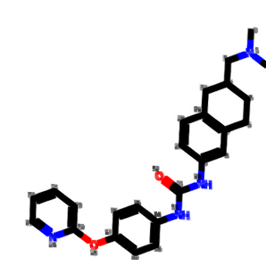 CN(C)CC1CCc2cc(NC(=O)Nc3ccc(Oc4ccccn4)cc3)ccc2C1